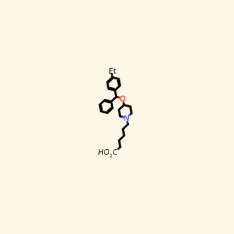 CCc1ccc(C(OC2CCN(CCCCCC(=O)O)CC2)c2ccccc2)cc1